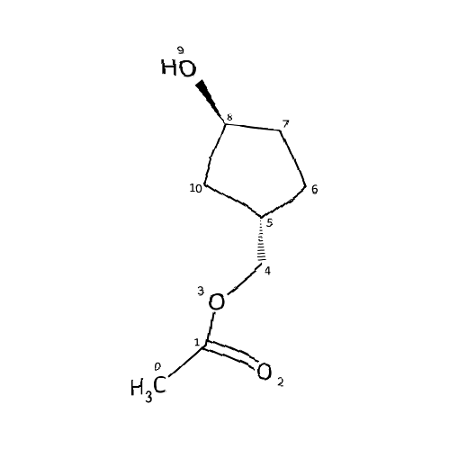 CC(=O)OC[C@H]1CC[C@H](O)C1